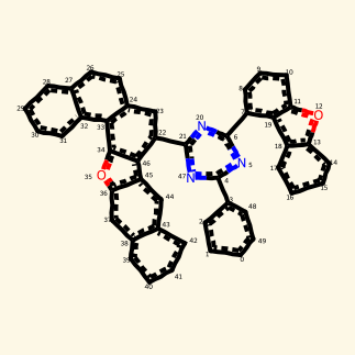 c1ccc(-c2nc(-c3cccc4oc5ccccc5c34)nc(-c3cc4ccc5ccccc5c4c4oc5cc6ccccc6cc5c34)n2)cc1